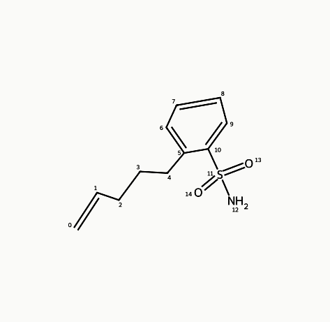 C=CCCCc1ccccc1S(N)(=O)=O